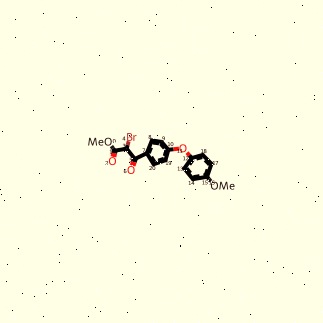 COC(=O)C(Br)C(=O)c1ccc(Oc2ccc(OC)cc2)cc1